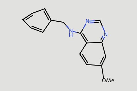 COc1ccc2c(NCc3ccccc3)ncnc2c1